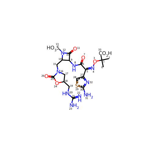 CC(C)(O/N=C(\C(=O)NC1C(=O)N(S(=O)(=O)O)C1CN1CC(CNC(=N)N)OC1=O)c1csc(N)n1)C(=O)O